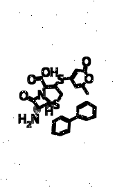 Cc1cc(SC2=C(C(=O)O)N3C(=O)[C@@H](N)[C@H]3SC2)cc(=O)o1.c1ccc(-c2ccccc2)cc1